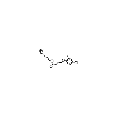 Cc1cc(Cl)ccc1OCCCC(=O)OCCCCCC(C)C